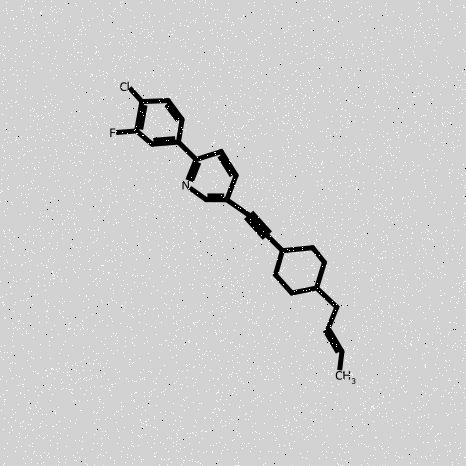 C/C=C/CC1CCC(C#Cc2ccc(-c3ccc(Cl)c(F)c3)nc2)CC1